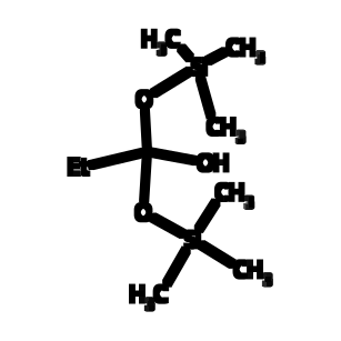 CCC(O)(O[Si](C)(C)C)O[Si](C)(C)C